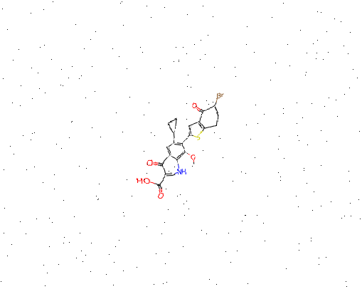 COc1c(-c2cc3c(s2)CCC(Br)C3=O)c(C2CC2)cc2c(=O)c(C(=O)O)c[nH]c12